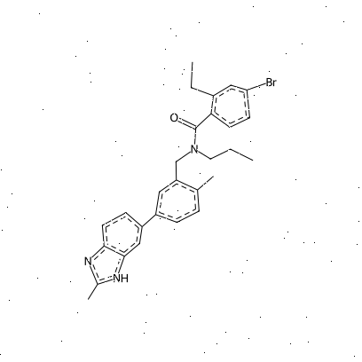 CCCN(Cc1cc(-c2ccc3nc(C)[nH]c3c2)ccc1C)C(=O)c1ccc(Br)cc1CC